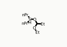 CCC[SiH](CCC)OC(CC)OCC